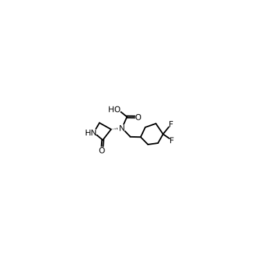 O=C1NC[C@@H]1N(CC1CCC(F)(F)CC1)C(=O)O